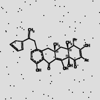 C=C(Cc1ccc(O)c2c1C[C@]1(C)C[C@]3(C)C(C(C)C)C(O)=C(C(C)=O)C(=O)[C@]3(O)C(O)=C1C2=O)C1=CC=CC1